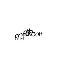 C[C@]12CCC(O)CC1=CC[C@@H]1[C@H]2CC[C@]2(C)C(NCc3cccnc3)CC[C@@H]12